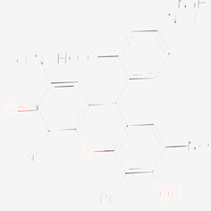 O=C(O)c1ccccc1C1C2=C(Oc3c1cc([N+](=O)[O-])c(O)c3Br)C(Br)C(=O)C([N+](=O)[O-])=C2.[NaH].[NaH]